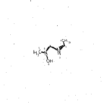 C/C=N\CN(C)O